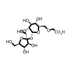 O=C(O)[CH]OC[C@H]1O[C@H](O[C@]2(CO)O[C@H](CO)[C@@H](O)[C@@H]2O)[C@H](O)[C@@H](O)[C@@H]1O